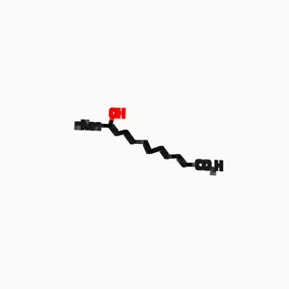 CCCCCCCCCC(O)=CC=CC=CC=CC=CC(=O)O